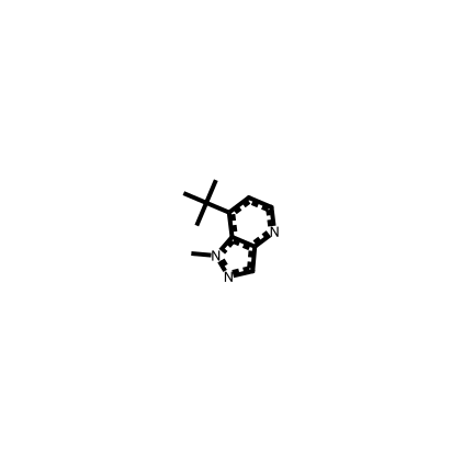 Cn1ncc2nccc(C(C)(C)C)c21